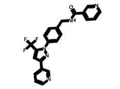 O=C(NCc1ccc(-n2nc(-c3cccnc3)cc2C(F)(F)F)cc1)c1cccnc1